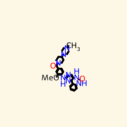 COc1cc(C(=O)N2CCC(N3CCN(C)CC3)CC2)ccc1Nc1ncc2c(n1)-c1ccccc1NC(=O)N2